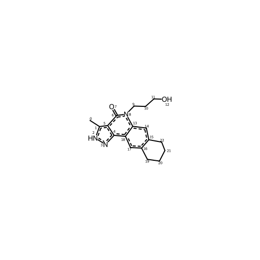 Cc1[nH]nc2c1c(=O)n(CCCO)c1cc3c(cc21)CCCC3